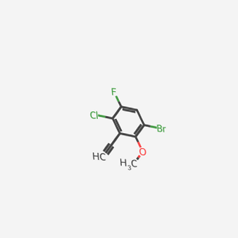 C#Cc1c(Cl)c(F)cc(Br)c1OC